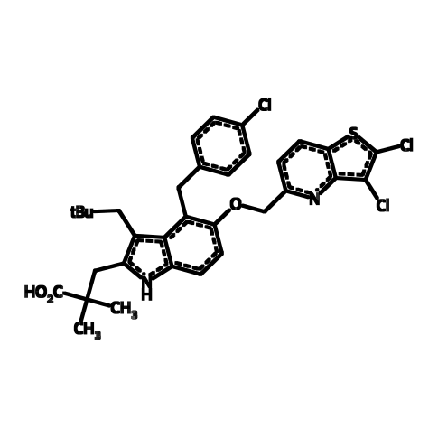 CC(C)(C)Cc1c(CC(C)(C)C(=O)O)[nH]c2ccc(OCc3ccc4sc(Cl)c(Cl)c4n3)c(Cc3ccc(Cl)cc3)c12